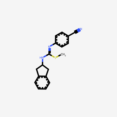 CSC(=Nc1ccc(C#N)cc1)NC1Cc2ccccc2C1